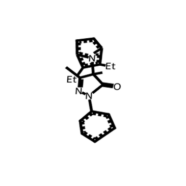 CCc1c(CC)c2ccc1n2C1(C)C(=O)N(c2ccccc2)N=C1C